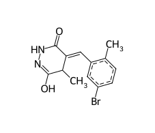 Cc1ccc(Br)cc1/C=C1/C(=O)NN=C(O)C1C